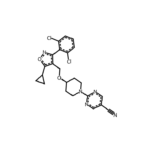 N#Cc1cnc(N2CCC(OCc3c(-c4c(Cl)cccc4Cl)noc3C3CC3)CC2)nc1